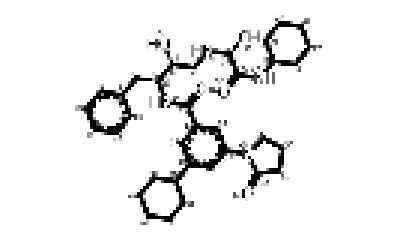 C[C@H](NC[C@H](O)[C@H](Cc1ccccc1)NC(=O)c1cc(C2CCCCC2)cc(N2CCCC2=O)c1)C(=O)NC1CCCCC1